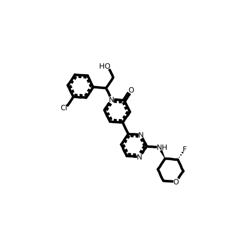 O=c1cc(-c2ccnc(N[C@@H]3CCOC[C@H]3F)n2)ccn1C(CO)c1cccc(Cl)c1